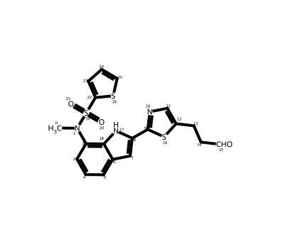 CN(c1cccc2cc(-c3ncc(CCC=O)s3)[nH]c12)S(=O)(=O)c1cccs1